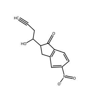 C#CCC(O)C1Cc2cc([N+](=O)[O-])ccc2C1=O